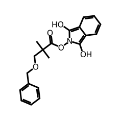 CC(C)(COCc1ccccc1)C(=O)On1c(O)c2ccccc2c1O